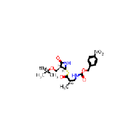 C[C@H](CNC(=O)OCc1ccc([N+](=O)[O-])cc1)C(=O)S[C@H]1NC(=O)[C@@H]1CO[Si](C)(C)C(C)(C)C